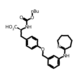 CCCCOC(=O)N[C@@H](Cc1ccc(OCc2cccc(NC3=NCCCCC3)c2)cc1)C(=O)O